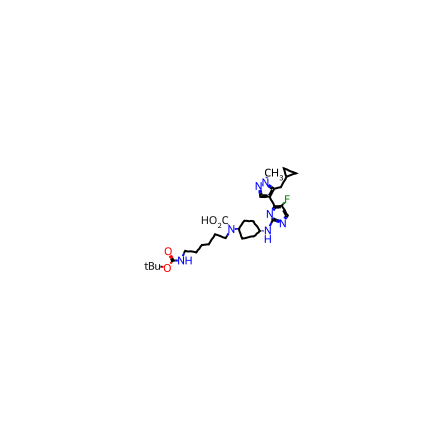 Cn1ncc(-c2nc(N[C@H]3CC[C@H](N(CCCCCCNC(=O)OC(C)(C)C)C(=O)O)CC3)ncc2F)c1CC1CC1